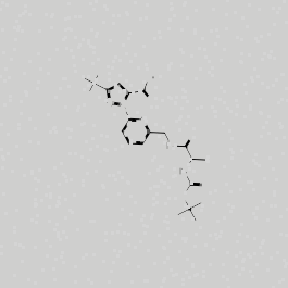 CC(NC(=O)OC(C)(C)C)C(=O)NCc1cccc(-n2nc(C(F)(F)F)cc2C(=O)O)n1